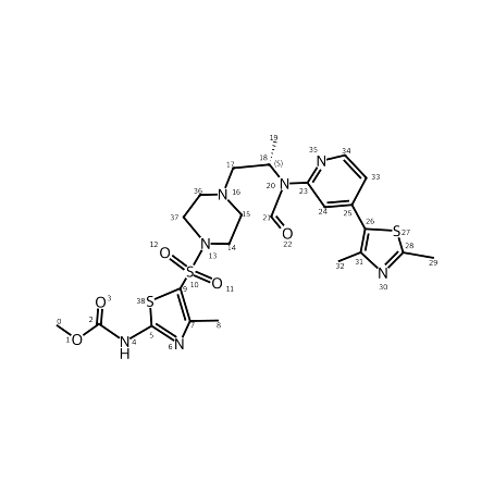 COC(=O)Nc1nc(C)c(S(=O)(=O)N2CCN(C[C@H](C)N(C=O)c3cc(-c4sc(C)nc4C)ccn3)CC2)s1